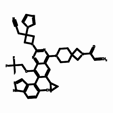 C=CC(=O)N1CC2(CCN(c3nc(N4CC(CC#N)(n5ccnc5)C4)nc4c(OCC(F)(F)F)c(-c5c(C)ccc6[nH]ncc56)c(C5CC5)cc34)CC2)C1